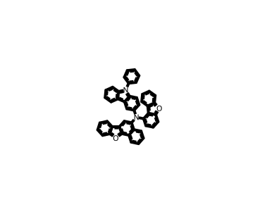 c1ccc(-n2c3ccccc3c3cc(N(c4cc5c6ccccc6oc5c5ccccc45)c4cccc5oc6ccccc6c45)ccc32)cc1